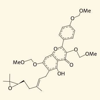 COCOc1ccc(-c2oc3cc(OCOC)c(C/C=C(\C)CC[C@H]4OC4(C)C)c(O)c3c(=O)c2OCOC)cc1